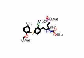 CCC[C@](CCc1ccc(Sc2cc(C(F)(F)F)ccc2OCOC)cc1Cl)(CCP(=O)(OC)OC)NC(=O)OC(C)(C)C